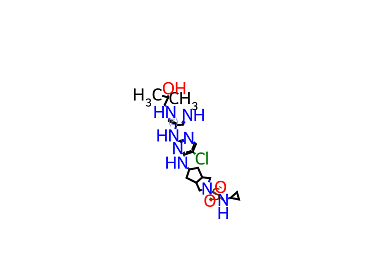 CC(C)(O)CN/C=C(\C=N)Nc1ncc(Cl)c(NC2CC3CN(S(=O)(=O)NC4CC4)CC3C2)n1